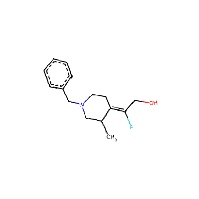 CC1CN(Cc2ccccc2)CC/C1=C(/F)CO